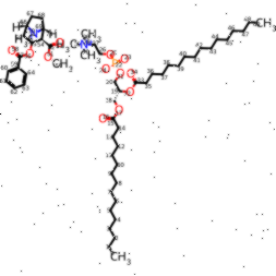 CCCCCCCCCCCCCCCC(=O)OC[C@H](COP(=O)([O-])OCC[N+](C)(C)C)OC(=O)CCCCCCCCCCCCCCC.COC(=O)[C@H]1[C@@H](OC(=O)c2ccccc2)C[C@@H]2CC[C@H]1N2C